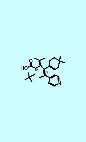 CC(C)=C(/C(C1=CCC(C)(C)CC1)=C(\C)c1ccncc1)[C@H](CC(C)(C)C)C(=O)O